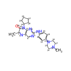 Cc1nc2cnc(Nc3ccc(N4CCN(C)CC4)cc3)nc2n(C2CCCC2)c1=O